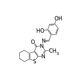 Cc1nc2sc3c(c2c(=O)n1N=Cc1ccc(O)cc1O)CCCC3